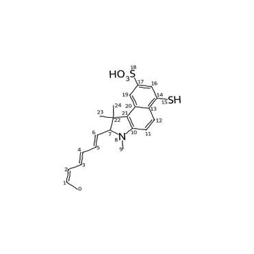 C\C=C/C=C/C=C/C1N(C)c2ccc3c(S)cc(S(=O)(=O)O)cc3c2C1(C)C